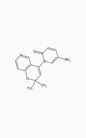 CC1(C)C=C(n2cc(N)ccc2=O)c2cnccc2O1